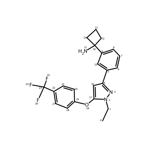 CCn1nc(-c2cccc(C3(N)CCC3)c2)cc1Oc1ccc(C(F)(F)F)cc1